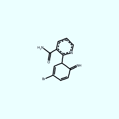 N=C1C=CC(Br)=CC1c1ncccc1C(N)=O